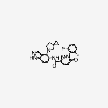 O=C(Nc1ccc2[nH]ncc2c1N1CCC2(CC2)C1)c1ccc(=O)n(-c2c(F)cccc2F)n1